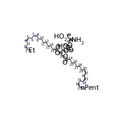 CC/C=C\C/C=C\C/C=C\CCCCCCCC(=O)O[C@H](COC(=O)CCCCCC/C=C\C/C=C\C/C=C\CCCCC)COP(=O)(O)OC[C@H](N)C(=O)O